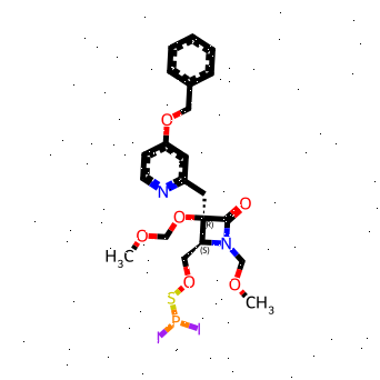 COCO[C@@]1(Cc2cc(OCc3ccccc3)ccn2)C(=O)N(COC)[C@H]1COSP(I)I